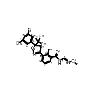 CON=CNC(=O)c1cccc(C2=NOC(c3cc(Cl)cc(Cl)c3)(C(F)(F)F)C2)c1C